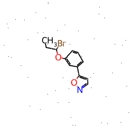 CCC(Br)Oc1cccc(-c2ccno2)c1